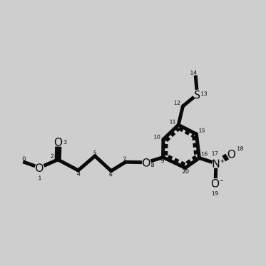 COC(=O)CCCCOc1cc(CSC)cc([N+](=O)[O-])c1